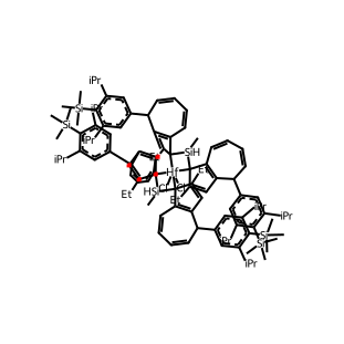 CCC1=CC2=C(C=CC=CC2c2cc(C(C)C)c([Si](C)(C)C)c(C(C)C)c2)[C]12[SiH](C)[C]1(C(CC)=CC3=C1C=CC=CC3c1cc(C(C)C)c([Si](C)(C)C)c(C(C)C)c1)[Hf]21([Cl])([Cl])[C]2(C(CC)=CC3=C2C=CC=CC3c2cc(C(C)C)c([Si](C)(C)C)c(C(C)C)c2)[SiH](C)[C]12C(CC)=CC1=C2C=CC=CC1c1cc(C(C)C)c([Si](C)(C)C)c(C(C)C)c1